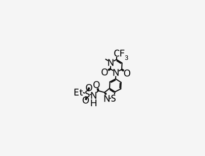 CCS(=O)(=O)NC(=O)c1nsc2ccc(-n3c(=O)cc(C(F)(F)F)n(C)c3=O)cc12